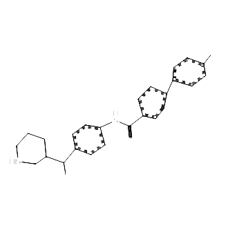 O=C(Nc1ccc(C(O)C2CCCNC2)cc1)c1ccc(-c2ccc(Cl)cc2)cc1